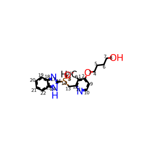 Cc1c(OCCCCO)ccnc1C[S+]([O-])c1nc2ccccc2[nH]1